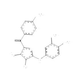 [C-]#[N+]c1c(Nc2ccc(OC)c(OC)c2)sc(C(=O)c2ccc(OC)cc2)c1N